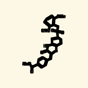 COC(=O)c1ccc(/C=C2/Sc3ccc(S(=O)(=O)Cc4c(OC)cccc4OC)cc3NC2=O)cc1